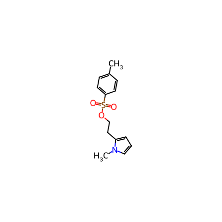 Cc1ccc(S(=O)(=O)OCCc2cccn2C)cc1